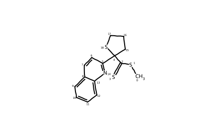 CSC(=S)C1(c2ccc3ccccc3n2)CCCS1